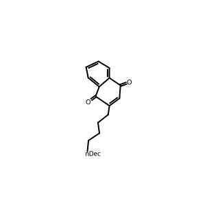 CCCCCCCCCCCCCCC1=CC(=O)c2ccccc2C1=O